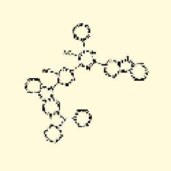 N#Cc1cc(-c2nc(-c3ccc4c(c3)sc3ccccc34)nc(-c3ccccc3)c2C#N)ccc1-n1c2ccccc2c2cc3c4ccccc4n(-c4ccccc4)c3cc21